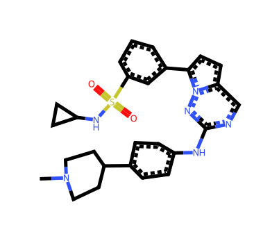 CN1CCC(c2ccc(Nc3ncc4ccc(-c5cccc(S(=O)(=O)NC6CC6)c5)n4n3)cc2)CC1